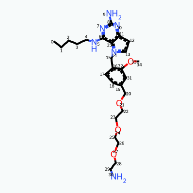 CCCCCNc1nc(N)nc2ccn(Cc3ccc(COCCOCCOCCN)cc3OC)c12